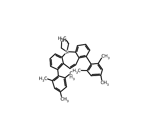 CC[Si]1(CC)c2cccc(-c3c(C)cc(C)cc3C)c2C=Cc2c(-c3c(C)cc(C)cc3C)cccc21